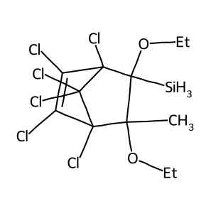 CCOC1(C)C([SiH3])(OCC)C2(Cl)C(Cl)=C(Cl)C1(Cl)C2(Cl)Cl